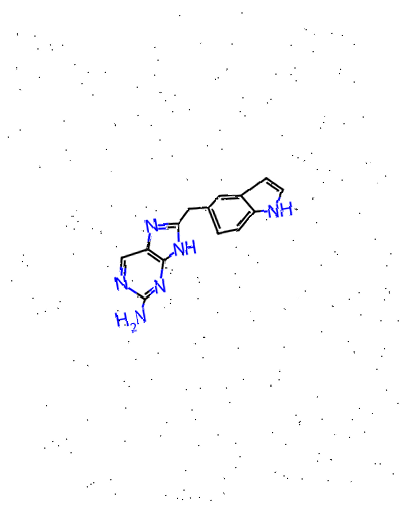 Nc1ncc2nc(Cc3ccc4[nH]ccc4c3)[nH]c2n1